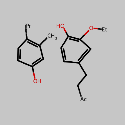 CCOc1cc(CCC(C)=O)ccc1O.Cc1cc(O)ccc1C(C)C